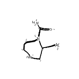 CC(=O)C1CNCCN1C(N)=O